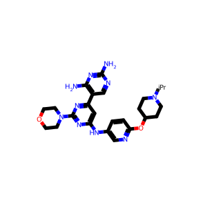 CC(C)N1CCC(Oc2ccc(Nc3cc(-c4cnc(N)nc4N)nc(N4CCOCC4)n3)cn2)CC1